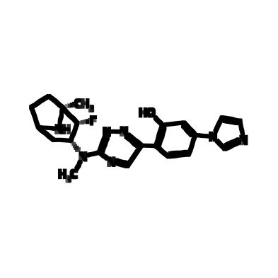 CN(c1ncc(-c2ccc(-n3ccnc3)cc2O)nn1)[C@@H]1CC2CC[C@](C)(N2)[C@@H]1F